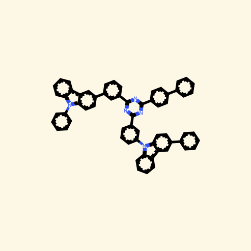 c1ccc(-c2ccc(-c3nc(-c4cccc(-c5ccc6c(c5)c5ccccc5n6-c5ccccc5)c4)nc(-c4cccc(-n5c6ccccc6c6cc(-c7ccccc7)ccc65)c4)n3)cc2)cc1